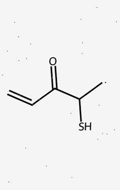 [CH2]C(S)C(=O)C=C